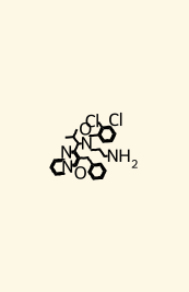 CC(C)C(c1nc2ccccn2c(=O)c1Cc1ccccc1)N(CCCN)C(=O)c1cccc(Cl)c1Cl